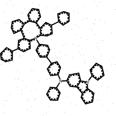 c1ccc(-c2ccc3c(c2)c2ccccc2c2ccccc2c2cc(-c4ccccc4)ccc2n3-c2ccc(-c3ccc(N(c4ccccc4)c4ccc5c(c4)c4ccccc4n5-c4ccccc4)cc3)cc2)cc1